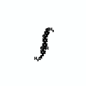 CCCCc1ccc(C(=O)Nc2ccc(N3CCN(C(=O)Cc4ccc(OC)cc4)CC3)cc2)cc1